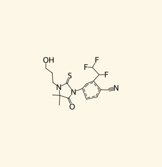 CC1(C)C(=O)N(c2ccc(C#N)c(C(F)C(F)F)c2)C(=S)N1CCCO